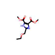 CCOCc1nc(C(=O)OC)c(C(=O)OC)[nH]1